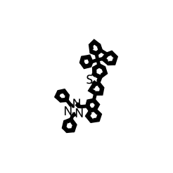 c1ccc(-c2nc(-c3ccccc3)nc(-c3cc(-c4ccc5c(c4)sc4cc(C6(c7ccccc7)c7ccccc7-c7ccccc76)ccc45)cc4ccccc34)n2)cc1